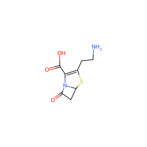 NCCC1=C(C(=O)O)N2C(=O)CC2S1